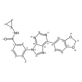 Cc1ccc(C(=O)NC2CC2)cc1-n1cnc2c(-c3ccc4c(c3)OCO4)ncnc21